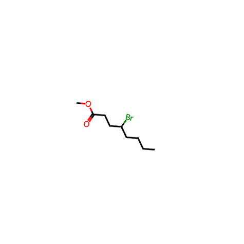 CCCCC(Br)CCC(=O)OC